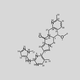 COCC1Cn2cc(-c3nc(Nc4ccnn4C)ncc3C)cc2C(=O)N1Cc1cccc(C)n1